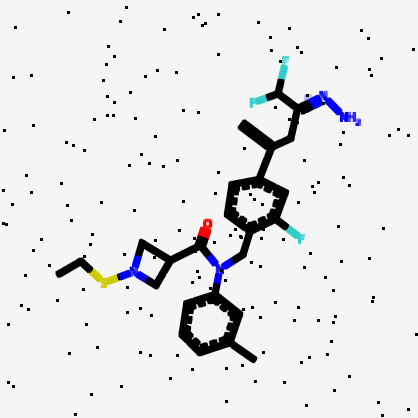 C=C(C/C(=N\N)C(F)F)c1ccc(CN(C(=O)C2CN(SCC)C2)c2cccc(C)c2)c(F)c1